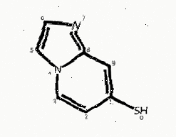 Sc1ccn2ccnc2c1